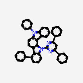 c1ccc(-c2cc(-c3ccccc3)nc(-n3c4cccc(-c5ccccc5)c4c4ccc5c(c6ccccc6n5-c5ccccc5)c43)n2)cc1